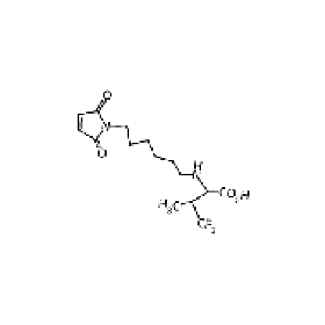 CC(C(NCCCCCCN1C(=O)C=CC1=O)C(=O)O)C(F)(F)F